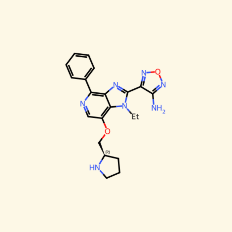 CCn1c(-c2nonc2N)nc2c(-c3ccccc3)ncc(OC[C@H]3CCCN3)c21